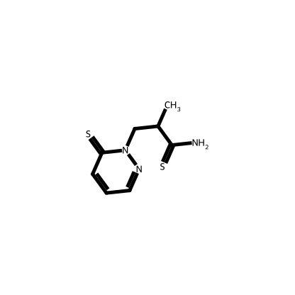 CC(Cn1ncccc1=S)C(N)=S